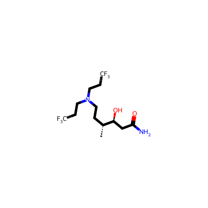 C[C@H](CCN(CCC(F)(F)F)CCC(F)(F)F)[C@@H](O)CC(N)=O